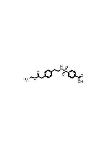 CCOC(=O)Cc1ccc(CCNS(=O)(=O)c2ccc(C(=O)O)cc2)cc1